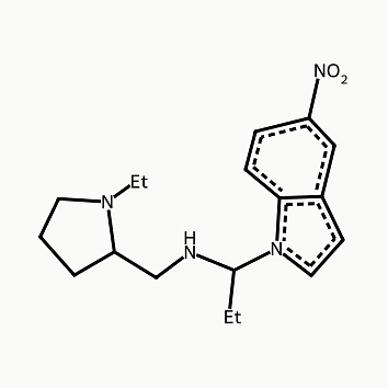 CCC(NCC1CCCN1CC)n1ccc2cc([N+](=O)[O-])ccc21